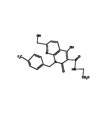 O=C(O)CNC(=O)c1c(O)c2ccc(CO)nc2n(Cc2ccc(C(F)(F)F)cc2)c1=O